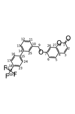 O=c1ccc2ccc(OCc3cccc(-c4ccc(C(F)(F)F)cc4)c3)cc2o1